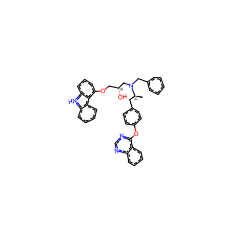 C[C@@H](Cc1ccc(Oc2ncnc3ccccc23)cc1)N(Cc1ccccc1)C[C@H](O)COc1cccc2[nH]c3ccccc3c12